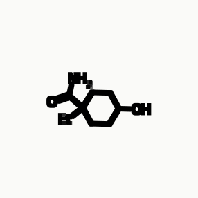 CCC1(C(N)=O)CCC(O)CC1